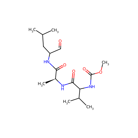 COC(=O)NC(C(=O)N[C@@H](C)C(=O)NC(C=O)CC(C)C)C(C)C